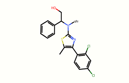 CCCN(c1nc(-c2ccc(Cl)cc2Cl)c(C)s1)C(CO)c1ccccc1